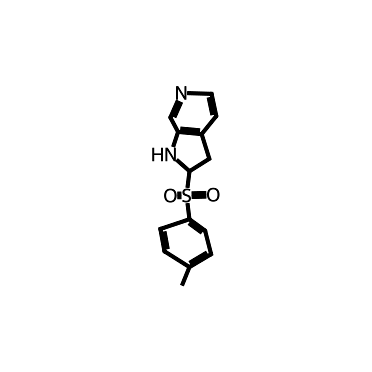 Cc1ccc(S(=O)(=O)C2Cc3ccncc3N2)cc1